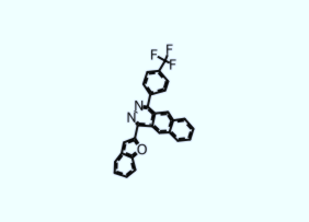 FC(F)(F)c1ccc(-c2nnc(-c3cc4ccccc4o3)c3cc4ccccc4cc23)cc1